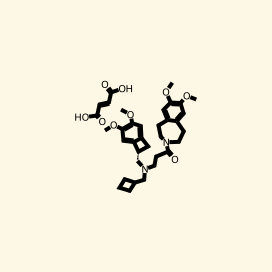 COc1cc2c(cc1OC)CCN(C(=O)CCN(CC1CCC1)C[C@H]1Cc3cc(OC)c(OC)cc31)CC2.O=C(O)/C=C/C(=O)O